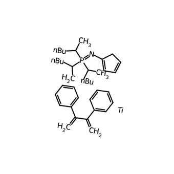 C=C(C(=C)c1ccccc1)c1ccccc1.CCCCC(C)P(=NC1=CC=CC1)(C(C)CCCC)C(C)CCCC.[Ti]